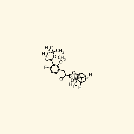 COc1c(CC(Cl)B2OC3C[C@H]4C[C@@H](C4(C)C)[C@]3(C)O2)ccc(F)c1C(=O)OC(C)(C)C